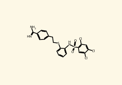 N=C(N)c1ccc(CCSc2ccccc2NS(=O)(=O)c2cc(Cl)c(Cl)cc2Cl)cc1